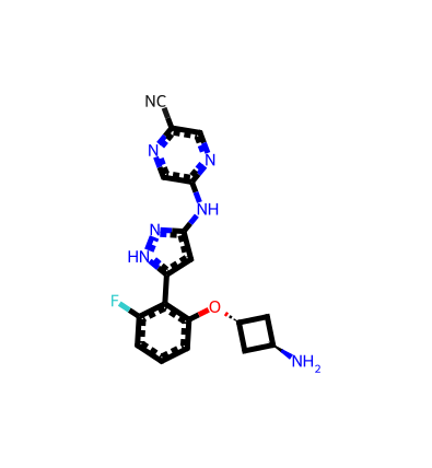 N#Cc1cnc(Nc2cc(-c3c(F)cccc3O[C@H]3C[C@H](N)C3)[nH]n2)cn1